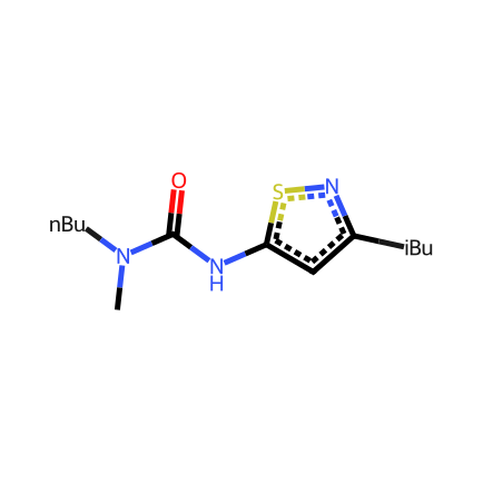 CCCCN(C)C(=O)Nc1cc(C(C)CC)ns1